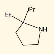 CCC1(C(C)C)CCCN1